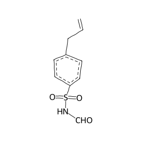 C=CCc1ccc(S(=O)(=O)NC=O)cc1